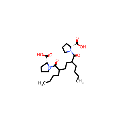 CCCCC(CCC(CCCC)C(=O)N1CCC[C@@H]1C(=O)O)C(=O)N1CCC[C@@H]1C(=O)O